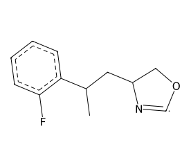 CC(CC1CO[C]=N1)c1ccccc1F